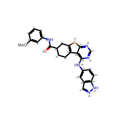 COc1cccc(NC(=O)C2CCc3c(sc4ncnc(Nc5ccc6[nH]ncc6c5)c34)C2)c1